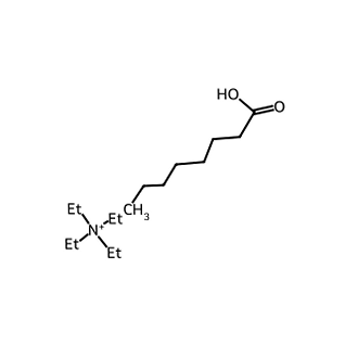 CCCCCCCC(=O)O.CC[N+](CC)(CC)CC